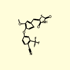 COc1cc(/C=C2/SC(=O)NC2=O)ccc1Oc1ccc(C#N)c(C(F)(F)F)c1